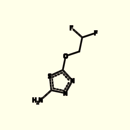 Nc1nnc(OCC(F)F)s1